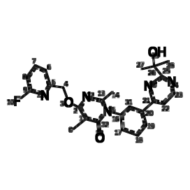 Cc1c(OCc2cccc(F)n2)nc(C)n(-c2cccc(-c3ccnc(C(C)(C)O)n3)c2)c1=O